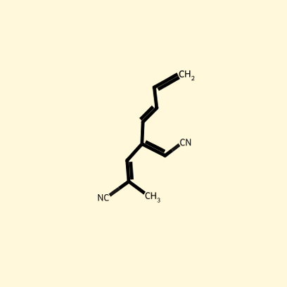 C=CC=CC(C=C(C)C#N)=CC#N